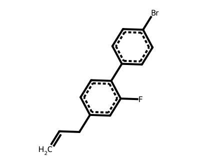 C=CCc1ccc(-c2ccc(Br)cc2)c(F)c1